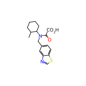 CC1CCCCC1N(Cc1ccc2scnc2c1)C(=O)C(=O)O